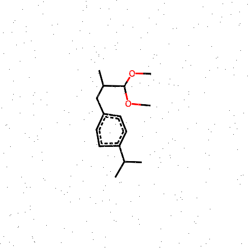 COC(OC)C(C)Cc1ccc(C(C)C)cc1